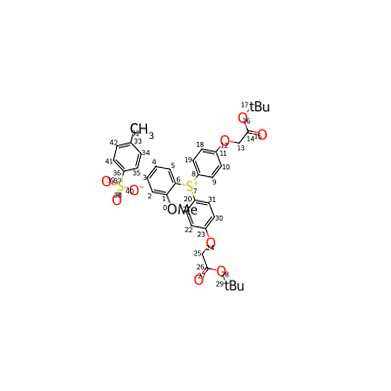 COc1ccccc1[S+](c1ccc(OCC(=O)OC(C)(C)C)cc1)c1ccc(OCC(=O)OC(C)(C)C)cc1.Cc1ccc(S(=O)(=O)[O-])cc1